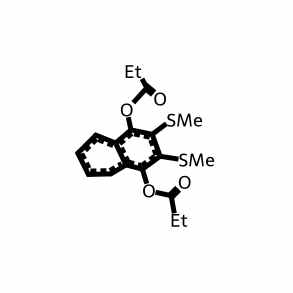 CCC(=O)Oc1c(SC)c(SC)c(OC(=O)CC)c2ccccc12